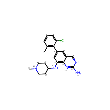 Cc1cccc(Cl)c1-c1cc(NC2CCN(C)CC2)c2nc(N)ncc2c1